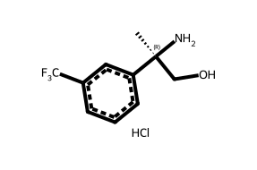 C[C@](N)(CO)c1cccc(C(F)(F)F)c1.Cl